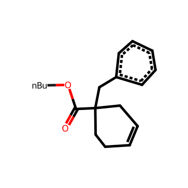 CCCCOC(=O)C1(Cc2ccccc2)CC=CCC1